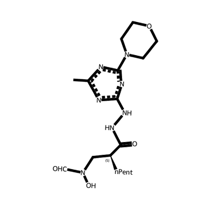 CCCCC[C@@H](CN(O)C=O)C(=O)NNc1nc(C)nc(N2CCOCC2)n1